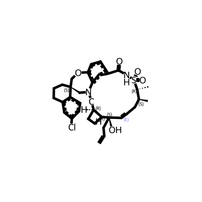 C=CC[C@@]1(O)/C=C/C[C@H](C)[C@@H](C)S(=O)(=O)NC(=O)c2ccc3c(c2)N(C[C@@H]2CC[C@H]21)C[C@@]1(CCCc2cc(Cl)ccc21)CO3